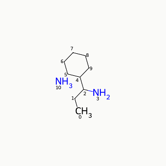 CCC(N)C1CCCCC1.N